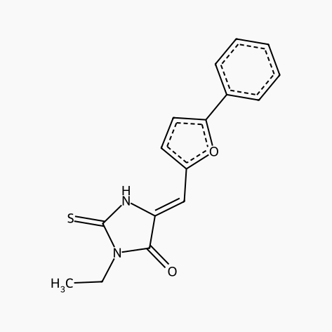 CCN1C(=O)C(=Cc2ccc(-c3ccccc3)o2)NC1=S